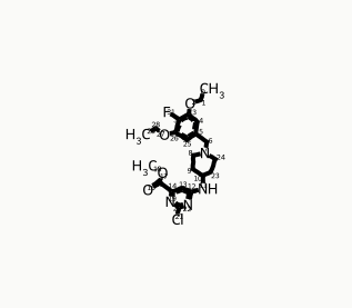 CCOc1cc(CN2CCC(Nc3cc(C(=O)OC)nc(Cl)n3)CC2)cc(OCC)c1F